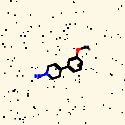 COc1cccc(C2=CCN(N)CC2)c1